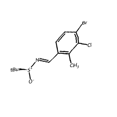 Cc1c(/C=N/[S@@+]([O-])C(C)(C)C)ccc(Br)c1Cl